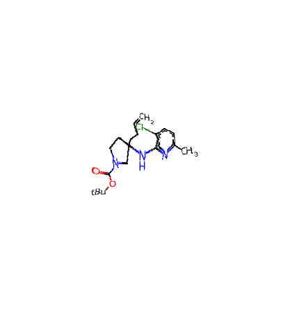 C=CCC1(Nc2nc(C)ccc2Cl)CCN(C(=O)OC(C)(C)C)C1